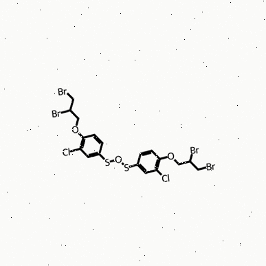 Clc1cc(SOSc2ccc(OCC(Br)CBr)c(Cl)c2)ccc1OCC(Br)CBr